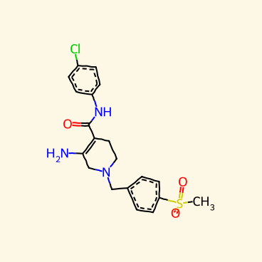 CS(=O)(=O)c1ccc(CN2CCC(C(=O)Nc3ccc(Cl)cc3)=C(N)C2)cc1